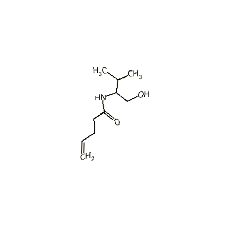 C=CCCC(=O)NC(CO)C(C)C